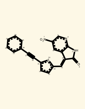 O=C1Nc2ncc([N+](=O)[O-])cc2C1=Cc1ccc(C#Cc2ccccc2)s1